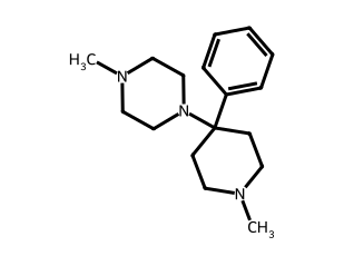 CN1CCN(C2(c3ccccc3)CCN(C)CC2)CC1